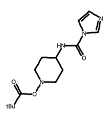 CC(C)(C)C(=O)ON1CCC(NC(=O)n2ccnc2)CC1